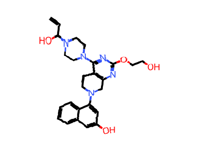 C=CC(O)N1CCN(c2nc(OCCO)nc3c2CCN(c2cc(O)cc4ccccc24)C3)CC1